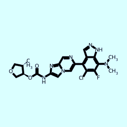 C[C@H]1COC[C@@H]1OC(=O)Nc1cn2cc(-c3c(Cl)c(F)c(N(C)C)c4[nH]ncc34)ncc2n1